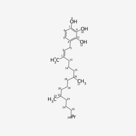 CC(=CCc1ccc(O)c(O)c1O)CCCC(C)CCCC(C)CCCC(C)C